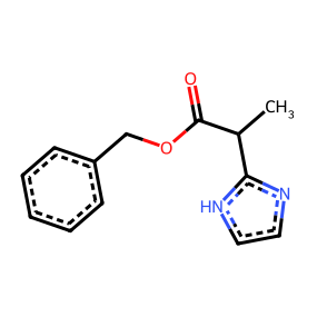 CC(C(=O)OCc1ccccc1)c1ncc[nH]1